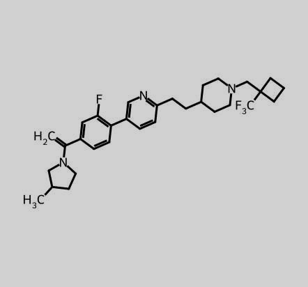 C=C(c1ccc(-c2ccc(CCC3CCN(CC4(C(F)(F)F)CCC4)CC3)nc2)c(F)c1)N1CCC(C)C1